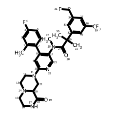 Cc1cc(F)ccc1-c1cc(N2CCN3CCNC(=O)C3C2)ncc1N(C)C(=O)C(C)(C)c1cc(CF)cc(C(F)(F)F)c1